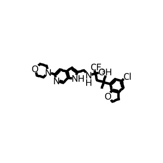 CC(C)(CC(O)(NCc1cc2cc(N3CCOCC3)ncc2[nH]1)C(F)(F)F)c1cc(Cl)cc2c1OCC2